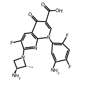 C[C@@H]1[C@@H](N)CN1c1nc2c(cc1F)c(=O)c(C(=O)O)cn2-c1cc(N)c(F)cc1F